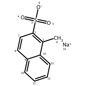 Cc1c(S(=O)(=O)[O-])ccc2ccccc12.[Na+]